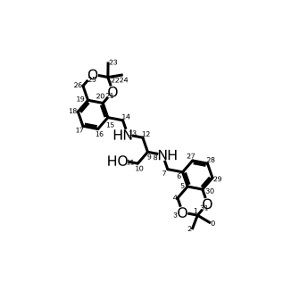 CC1(C)OCc2c(CNC(CO)CNCc3cccc4c3OC(C)(C)OC4)cccc2O1